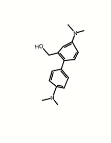 CN(C)c1ccc(-c2ccc(N(C)C)cc2CO)cc1